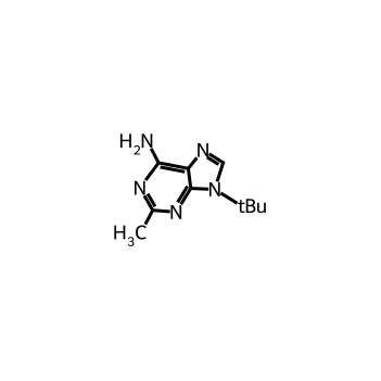 Cc1nc(N)c2ncn(C(C)(C)C)c2n1